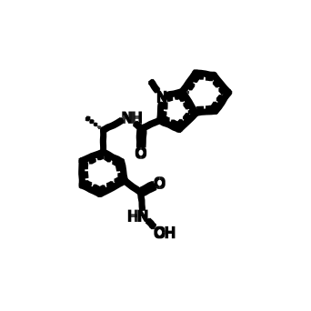 C[C@H](NC(=O)c1cc2ccccc2n1C)c1cccc(C(=O)NO)c1